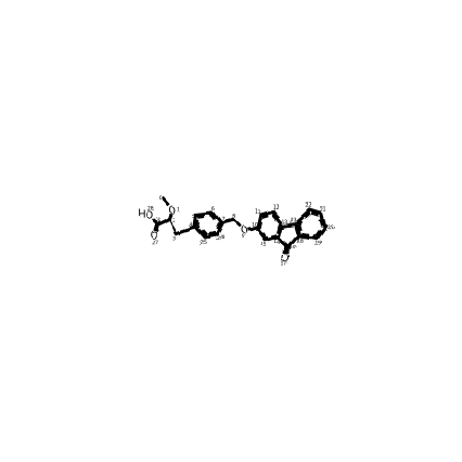 CO[C@@H](Cc1ccc(COc2ccc3c(c2)C(=O)c2ccccc2-3)cc1)C(=O)O